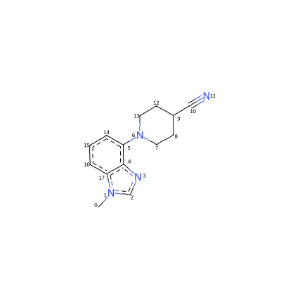 Cn1cnc2c(N3CCC(C#N)CC3)cccc21